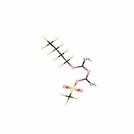 CC(OC(C)OS(=O)(=O)C(F)(F)F)OC(F)(F)C(F)(F)C(F)(F)C(F)(F)F